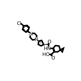 O=C(O)C1=C(NC(=O)[C@H]2CC[C@H](N3CCN(c4ccc(Cl)cc4)CC3)C2)CCC2(CC2)C1